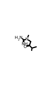 CC(C)C(=O)CN(C)C(=N)N